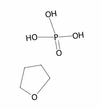 C1CCOC1.O=P(O)(O)O